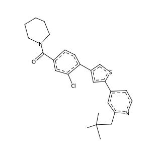 CC(C)(C)Cc1cc(-c2cc(-c3ccc(C(=O)N4CCCCC4)cc3Cl)cs2)ccn1